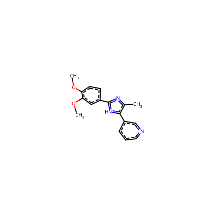 COc1ccc(-c2nc(C)c(-c3cccnc3)[nH]2)cc1OC